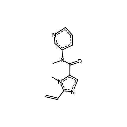 C=Cc1ncc(C(=O)N(C)c2cccnc2)n1C